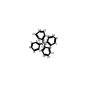 c1cc[c]([Ni]([c]2ccccc2)([c]2ccccc2)[c]2ccccc2)cc1